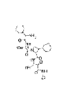 CCCC(NC(=O)C1C(C2CCCCC2)CN1C(=O)[C@@H](NC(=O)C(N)C1CCCCC1)C(C)(C)C)C(=O)C(=O)NC1CC1